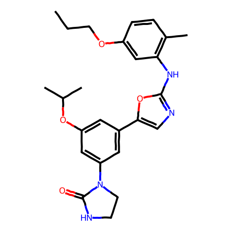 CCCOc1ccc(C)c(Nc2ncc(-c3cc(OC(C)C)cc(N4CCNC4=O)c3)o2)c1